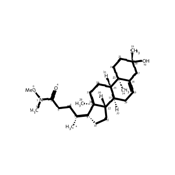 CON(C)C(=O)CC[C@@H](C)[C@H]1CC[C@H]2[C@@H]3CC=C4C[C@@](C)(O)CC[C@]4(C)[C@H]3CC[C@]12C